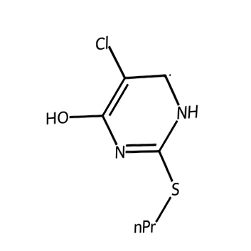 CCCSC1=NC(O)=C(Cl)[CH]N1